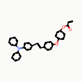 C=CC(=O)Oc1ccc(Oc2ccc(C=Cc3ccc(N(c4ccccc4)c4ccccc4)cc3)cc2)cc1